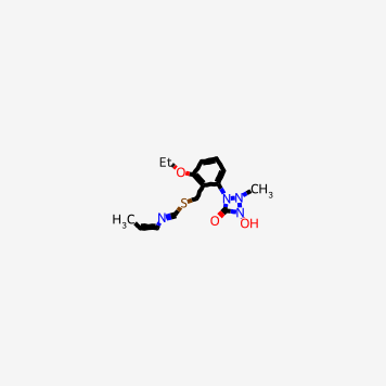 C/C=C\N=C\SCc1c(OCC)cccc1-n1c(=O)n(O)n1C